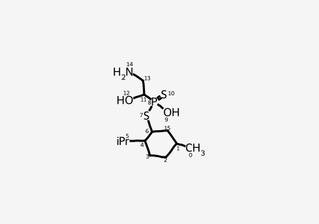 CC1CCC(C(C)C)C(SP(O)(=S)C(O)CN)C1